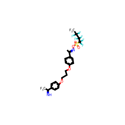 C/C(=N\OS(=O)(=O)C(F)(F)C(F)(F)C(F)(F)C(F)(F)F)c1ccc(OCCCOc2ccc(C(=N)C(F)(F)F)cc2)cc1